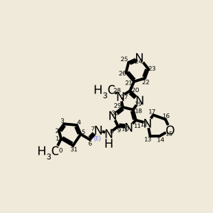 Cc1cccc(/C=N/Nc2nc(N3CCOCC3)c3nc(-c4ccncc4)n(C)c3n2)c1